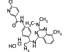 Cc1cccc2c(NC(C)c3ccc(NC(=O)c4ccc(Cl)nc4)cc3)nc(N(C)C)nc12.Cl.Cl